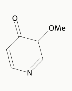 COC1C=NC=CC1=O